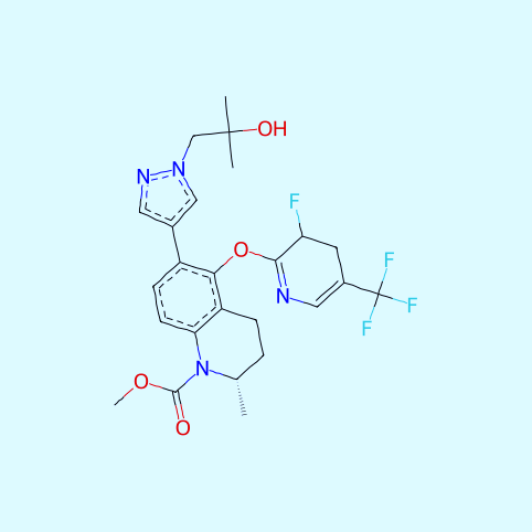 COC(=O)N1c2ccc(-c3cnn(CC(C)(C)O)c3)c(OC3=NC=C(C(F)(F)F)CC3F)c2CC[C@@H]1C